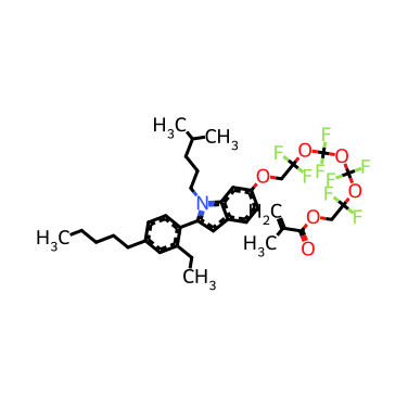 C=C(C)C(=O)OCC(F)(F)OC(F)(F)OC(F)(F)OC(F)(F)COc1ccc2cc(-c3ccc(CCCCC)cc3CC)n(CCCC(C)C)c2c1